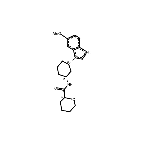 COc1ccc2[nH]cc([C@H]3CCC[C@@H](NC(=O)[C@@H]4CCCCO4)C3)c2c1